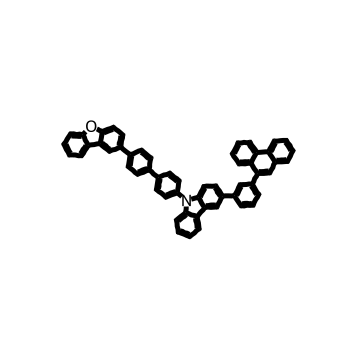 c1cc(-c2ccc3c(c2)c2ccccc2n3-c2ccc(-c3ccc(-c4ccc5oc6ccccc6c5c4)cc3)cc2)cc(-c2cc3ccccc3c3ccccc23)c1